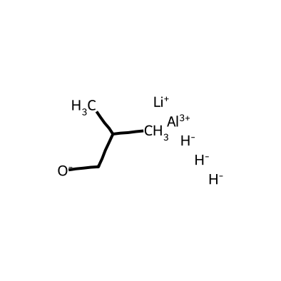 CC(C)C[O-].[Al+3].[H-].[H-].[H-].[Li+]